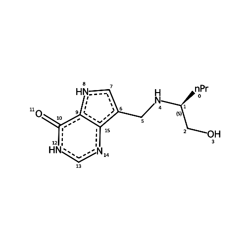 CCC[C@@H](CO)NCc1c[nH]c2c(=O)[nH]cnc12